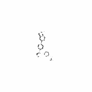 CCC(=O)N[C@H]1CC[C@@H](n2nncc2-c2ccc(-c3ccc4c(cnn4C)c3)cc2)C1